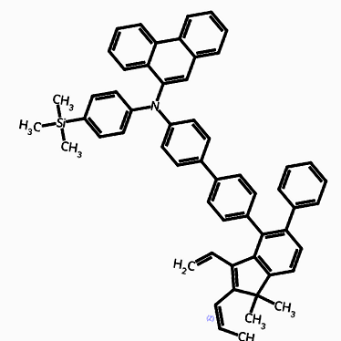 C=CC1=C(/C=C\C)C(C)(C)c2ccc(-c3ccccc3)c(-c3ccc(-c4ccc(N(c5ccc([Si](C)(C)C)cc5)c5cc6ccccc6c6ccccc56)cc4)cc3)c21